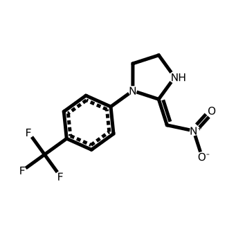 O=[N+]([O-])C=C1NCCN1c1ccc(C(F)(F)F)cc1